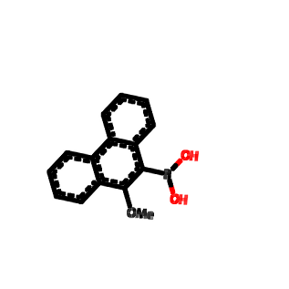 COc1c(B(O)O)c2ccccc2c2ccccc12